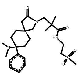 CN(C)[C@]1(c2ccccc2)CC[C@@]2(CC1)CC(=O)N(CC(C)(C)C(=O)NCCS(C)(=O)=O)C2